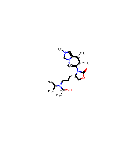 C=C([C@@H](C)[C@@H](C)C1=CN(C)CN1)N1C(=O)OC[C@@H]1CCCN(C(C)C)[C@@H](C)O